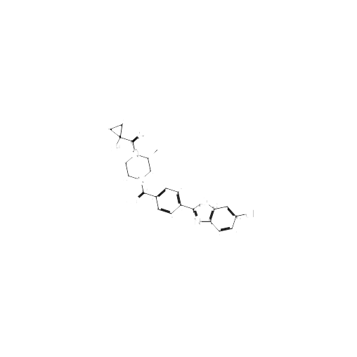 C[C@H]1CN(C(=O)c2ccc(-c3nc4ccc(Cl)cc4o3)cc2)CCN1C(=O)C1(O)CC1